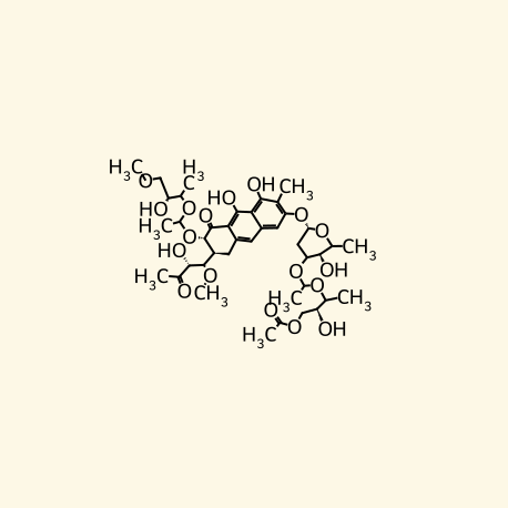 COC[C@H](O)C(C)OC(C)O[C@@H]1C(=O)c2c(cc3cc(O[C@H]4CC(OC(C)OC(C)[C@@H](O)COC(C)=O)[C@H](O)C(C)O4)c(C)c(O)c3c2O)C[C@H]1[C@H](OC)[C@@H](O)C(C)=O